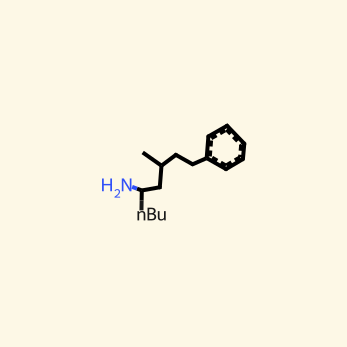 CCCCC(N)CC(C)CCc1ccccc1